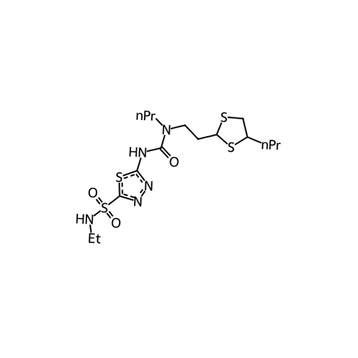 CCCC1CSC(CCN(CCC)C(=O)Nc2nnc(S(=O)(=O)NCC)s2)S1